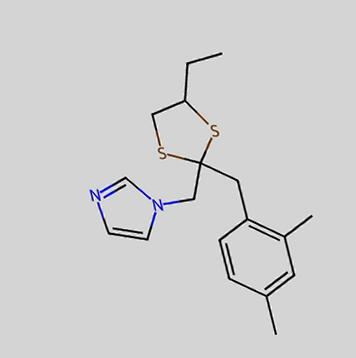 CCC1CSC(Cc2ccc(C)cc2C)(Cn2ccnc2)S1